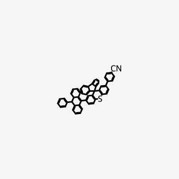 N#Cc1ccc(-c2ccc3c(c2)C2(c4cc(C5=C6C=CC=CC6C(c6ccccc6)c6ccccc65)ccc4S3)c3ccccc3-c3ccccc32)cc1